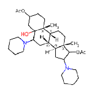 CC(=O)OC1CC[C@]2(C)[C@@H]3CC[C@]4(C)C(OC(C)=O)C(N5CCCCC5)C[C@H]4[C@@H]3CC(N3CCCCC3)C2(O)C1